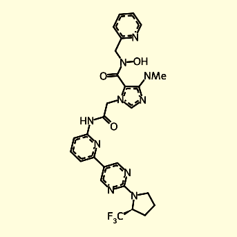 CNc1ncn(CC(=O)Nc2cccc(-c3cnc(N4CCC[C@H]4C(F)(F)F)nc3)n2)c1C(=O)N(O)Cc1ccccn1